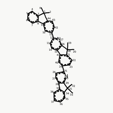 CC1(C)c2ccccc2-c2cc(-c3ccc4c(n3)C(C)(C)c3ccc(-c5ccc6c(n5)C(C)(C)c5ccccc5-6)cc3-4)ccc21